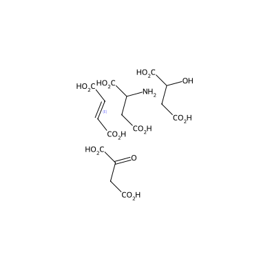 NC(CC(=O)O)C(=O)O.O=C(O)/C=C/C(=O)O.O=C(O)CC(=O)C(=O)O.O=C(O)CC(O)C(=O)O